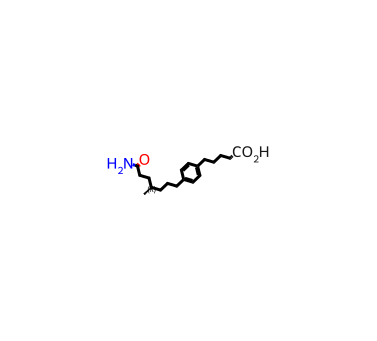 C[C@H](CCCc1ccc(CCCCC(=O)O)cc1)CCC(N)=O